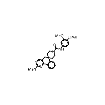 CNc1ncc2c(n1)-c1ccccc1C1(CCN(C(=O)Nc3ccc(OC)c(OC)c3)CC1)C2